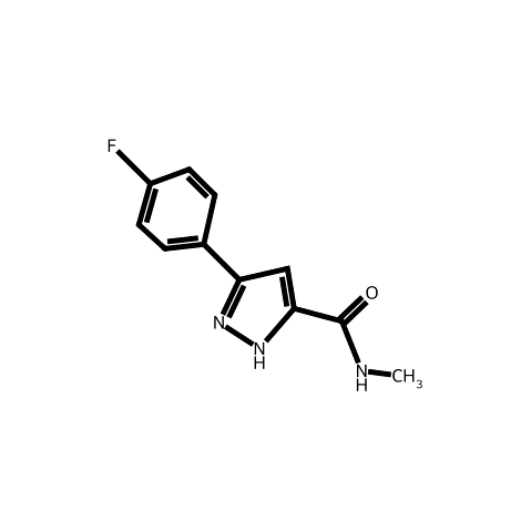 CNC(=O)c1cc(-c2ccc(F)cc2)n[nH]1